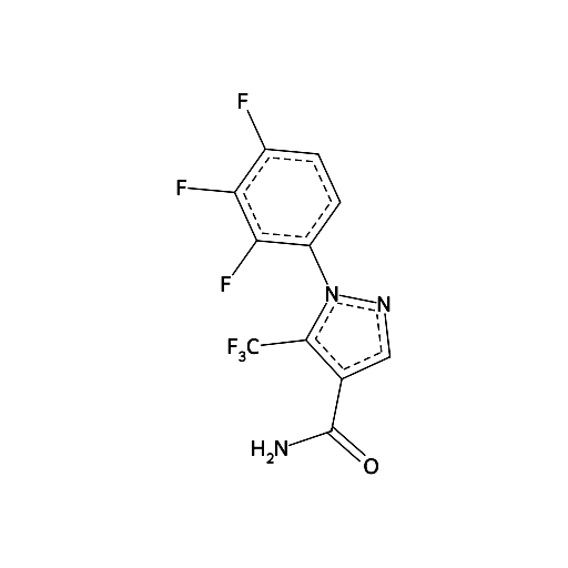 NC(=O)c1cnn(-c2ccc(F)c(F)c2F)c1C(F)(F)F